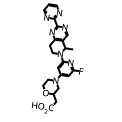 CC1c2cnc(-c3ncccn3)nc2CCN1c1cc(N2CCOC(CC(=O)O)C2)cc(F)n1